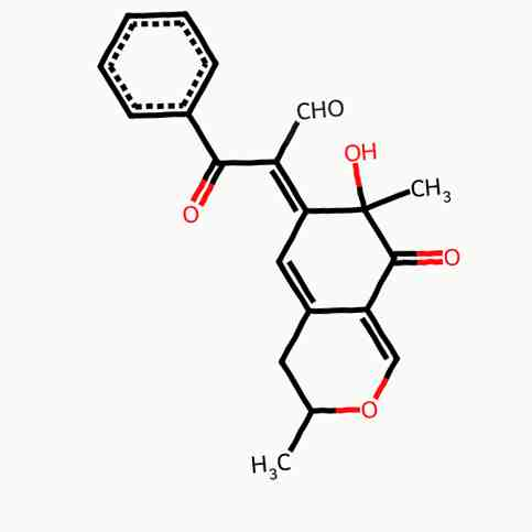 CC1CC2=C/C(=C(/C=O)C(=O)c3ccccc3)C(C)(O)C(=O)C2=CO1